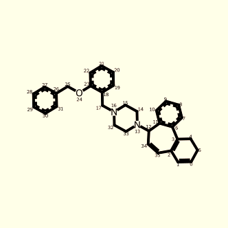 C1=CC2=C(CC1)c1ccccc1C(N1CCN(Cc3ccccc3OCc3ccccc3)CC1)C=C2